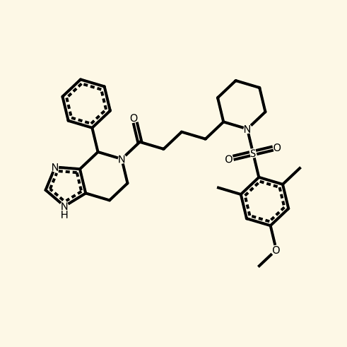 COc1cc(C)c(S(=O)(=O)N2CCCCC2CCCC(=O)N2CCc3[nH]cnc3C2c2ccccc2)c(C)c1